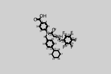 O=C(O)c1ccc(N(Cc2ccc(C3CCCCC3)cc2)C(=O)CNSc2c(F)c(F)c(F)c(F)c2F)cc1